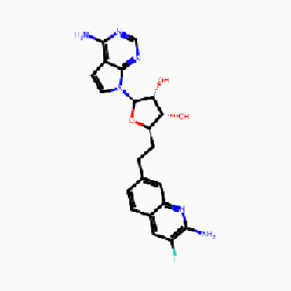 Nc1nc2cc(CC[C@H]3O[C@@H](n4ccc5c(N)ncnc54)[C@H](O)[C@@H]3O)ccc2cc1F